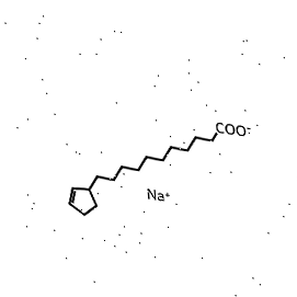 O=C([O-])CCCCCCCCCCC1C=CCC1.[Na+]